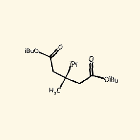 CC(C)COC(=O)CC(C)(CC(=O)OCC(C)C)C(C)C